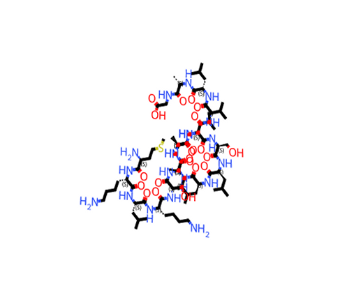 CSCC[C@H](N)C(=O)N[C@@H](CCCCN)C(=O)N[C@@H](CC(C)C)C(=O)N[C@@H](CCCCN)C(=O)N[C@H](C(=O)N[C@@H](CC(C)C)C(=O)N[C@@H](C)C(=O)N[C@@H](CC(C)C)C(=O)N[C@@H](CO)C(=O)N[C@@H](CC(C)C)C(=O)N[C@@H](CC(C)C)C(=O)N[C@@H](C)C(=O)N[C@@H](C)C(=O)NCC(=O)N[C@H](C(=O)N[C@@H](CC(C)C)C(=O)N[C@@H](C)C(=O)NCC(=O)O)C(C)C)[C@@H](C)O